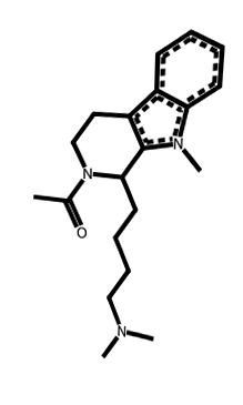 CC(=O)N1CCc2c(n(C)c3ccccc23)C1CCCCN(C)C